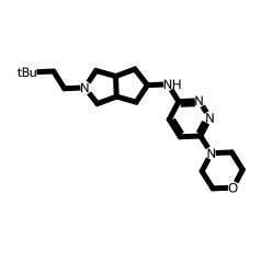 CC(C)(C)CCN1CC2CC(Nc3ccc(N4CCOCC4)nn3)CC2C1